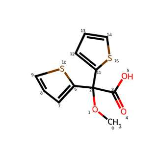 COC(C(=O)O)(c1cccs1)c1cccs1